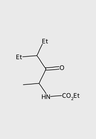 CCOC(=O)NC(C)C(=O)C(CC)CC